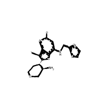 N[C@H]1COCC[C@@H]1c1sc2c(NCc3nccs3)cc(Cl)nc2c1I